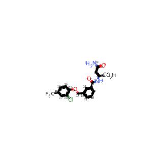 NC(=O)CC(NC(=O)c1cccc(COc2ccc(C(F)(F)F)cc2Cl)c1)C(=O)O